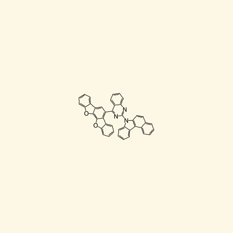 c1ccc2c(c1)ccc1c2c2ccccc2n1-c1nc(-c2cc3c4ccccc4oc3c3oc4ccccc4c23)c2ccccc2n1